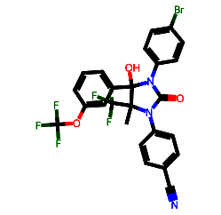 CC1(C(F)(F)F)N(c2ccc(C#N)cc2)C(=O)N(c2ccc(Br)cc2)C1(O)c1cccc(OC(F)(F)F)c1